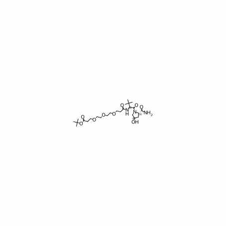 CC(C)(C)OC(=O)CCOCCOCCOCCC(=O)N[C@H](C(=O)N1C[C@H](O)C[C@H]1C(N)=O)C(C)(C)C